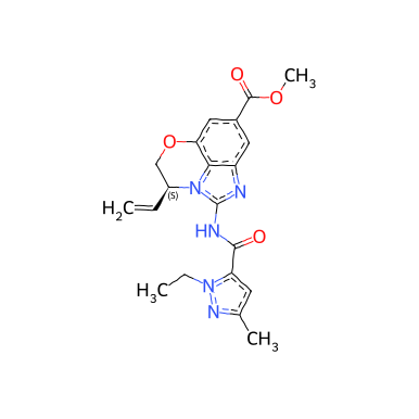 C=C[C@H]1COc2cc(C(=O)OC)cc3nc(NC(=O)c4cc(C)nn4CC)n1c23